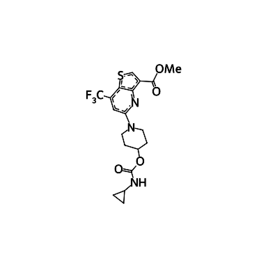 COC(=O)c1csc2c(C(F)(F)F)cc(N3CCC(OC(=O)NC4CC4)CC3)nc12